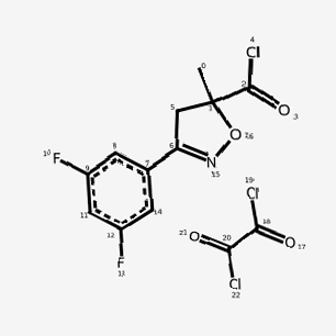 CC1(C(=O)Cl)CC(c2cc(F)cc(F)c2)=NO1.O=C(Cl)C(=O)Cl